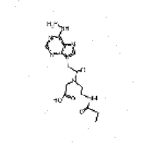 CCC(=O)NCCN(CC(=O)O)C(=O)Cn1cnc2c(NP)ncnc21